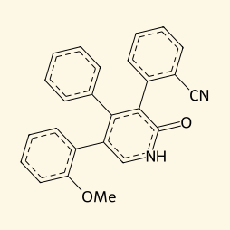 COc1ccccc1-c1c[nH]c(=O)c(-c2ccccc2C#N)c1-c1ccccc1